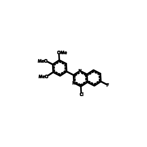 COc1cc(-c2nc(Cl)c3cc(F)ccc3n2)cc(OC)c1OC